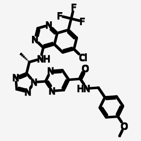 COc1ccc(CNC(=O)c2cnc(-n3ncnc3[C@H](C)Nc3ncnc4c(C(F)(F)F)cc(Cl)cc34)nc2)cc1